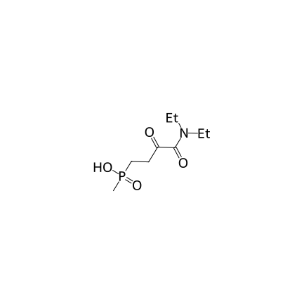 CCN(CC)C(=O)C(=O)CCP(C)(=O)O